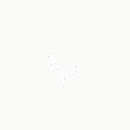 c1ccc(-c2ccc(N(c3ccc(-c4ccc5c(c4)oc4c6ccncc6ccc54)cc3)c3ccc4c(c3)c3ccccc3n4-c3ccccc3)cc2)cc1